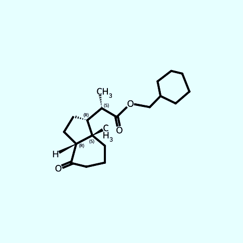 C[C@H](C(=O)OCC1CCCCC1)[C@H]1CC[C@H]2C(=O)CCC[C@@]12C